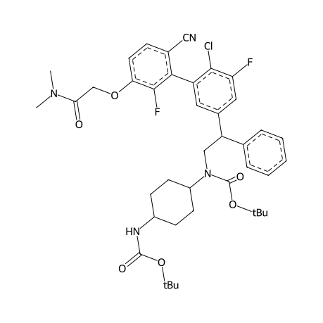 CN(C)C(=O)COc1ccc(C#N)c(-c2cc(C(CN(C(=O)OC(C)(C)C)C3CCC(NC(=O)OC(C)(C)C)CC3)c3ccccc3)cc(F)c2Cl)c1F